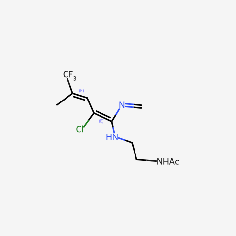 C=N/C(NCCNC(C)=O)=C(Cl)\C=C(/C)C(F)(F)F